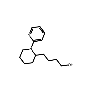 OCCCCC1CCCCN1c1ccccn1